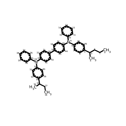 CCCC(C)c1ccc(N(c2ccccc2)c2ccc(-c3ccc(N(c4ccccc4)c4ccc(C(C)CC)cc4)cc3)cc2)cc1